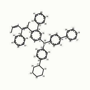 C/C=C\C(=C(/C)c1ccc(N(c2ccc(-c3ccccc3)cc2)c2ccc(C3CCCCC3)cc2)cc1-c1ccccc1)c1ccccc1